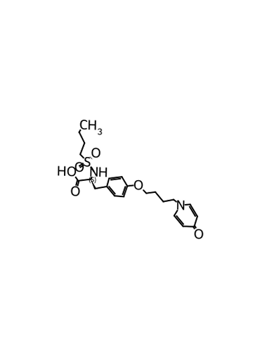 CCCCS(=O)(=O)N[C@@H](Cc1ccc(OCCCCn2ccc(=O)cc2)cc1)C(=O)O